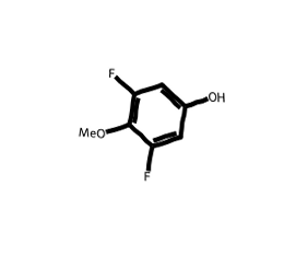 COc1c(F)cc(O)cc1F